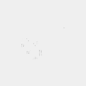 Oc1nc2nonc2nc1Nc1ccc(-c2ccc(F)cc2)cc1F